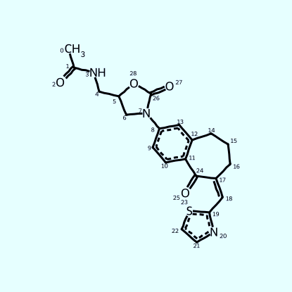 CC(=O)NCC1CN(c2ccc3c(c2)CCCC(=Cc2nccs2)C3=O)C(=O)O1